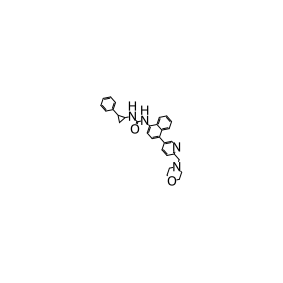 O=C(Nc1ccc(-c2ccc(CN3CCOCC3)nc2)c2ccccc12)NC1CC1c1ccccc1